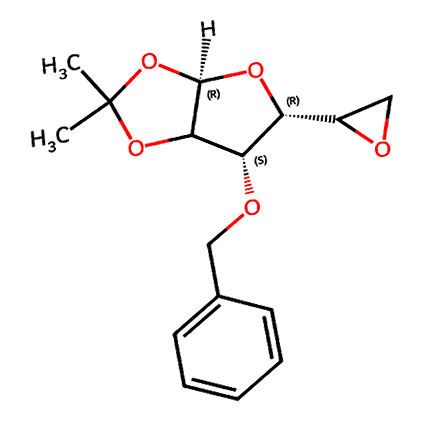 CC1(C)OC2[C@H](O[C@H](C3CO3)[C@@H]2OCc2ccccc2)O1